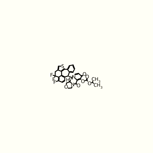 CC(C)OC(=O)Oc1c2n(ccc1=O)N([C@@H]1c3ccccc3-c3scc4c3-c3c1ccc(F)c3C(F)(F)C4)[C@@H]1COCCN1C2=O